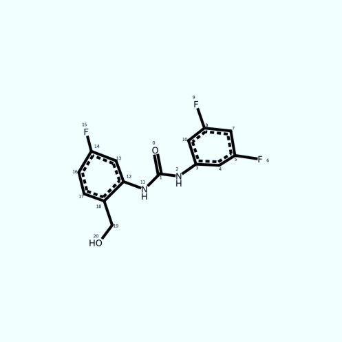 O=C(Nc1cc(F)cc(F)c1)Nc1cc(F)ccc1CO